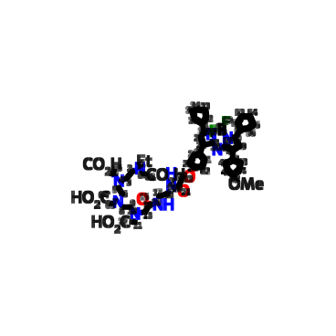 CCN(CCN(CCN(CCN(CC(=O)O)CC(=O)NCCNC(=O)COc1ccc(C2=CC(c3ccccc3)=N/C2=N\c2c(-c3ccc(OC)cc3)cc(-c3ccccc3)n2B(F)F)cc1)CC(=O)O)CC(=O)O)CC(=O)O